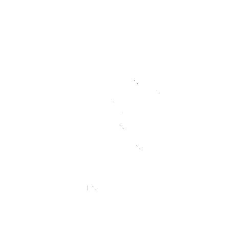 CN1C(=C2SC(=Nc3ccc(N)cc3)N(Cc3ccccc3)C2=O)Sc2ccccc21